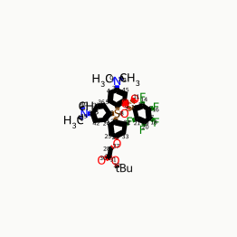 CN(C)c1ccc(S(OS(=O)(=O)c2c(F)c(F)c(F)c(F)c2F)(c2ccc(OCC(=O)OC(C)(C)C)cc2)c2ccc(N(C)C)cc2)cc1